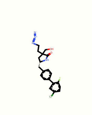 [N-]=[N+]=NCCC1(CO)C[C@@H](Cc2ccc(-c3cc(Cl)ccc3F)cc2)NC1=O